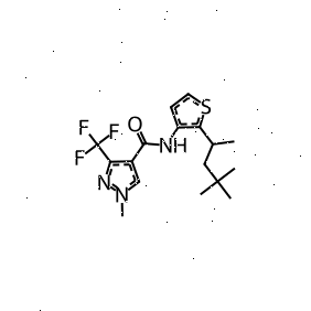 CC(CC(C)(C)C)c1sccc1NC(=O)c1cn(C)nc1C(F)(F)F